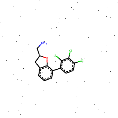 NCC1Cc2cccc(-c3ccc(Cl)c(Cl)c3Cl)c2O1